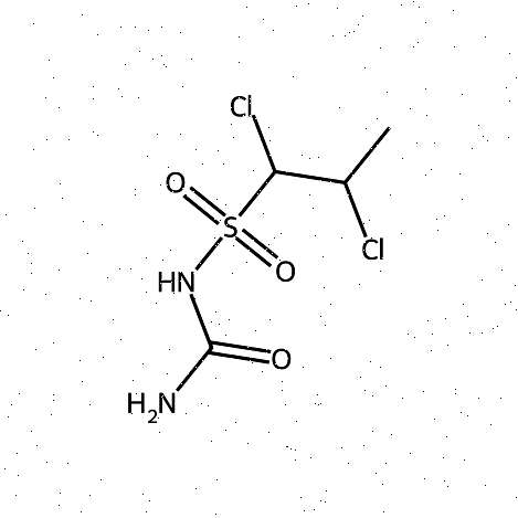 CC(Cl)C(Cl)S(=O)(=O)NC(N)=O